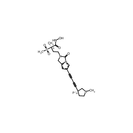 CN1CC[C@@](F)(C#CC#Cc2cc3n(c2)C(=O)N(CC[C@](C)(C(=O)NO)S(C)(=O)=O)C3)C1